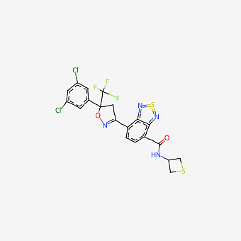 O=C(NC1CSC1)c1ccc(C2=NOC(c3cc(Cl)cc(Cl)c3)(C(F)(F)F)C2)c2nsnc12